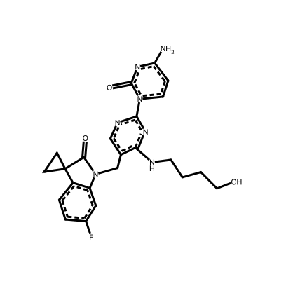 Nc1ccn(-c2ncc(CN3C(=O)C4(CC4)c4ccc(F)cc43)c(NCCCCO)n2)c(=O)n1